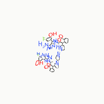 CC(c1oc(=O)c2ccccc2c1C1=CCCN(C2CCN(C)CC2)C1)n1nc(-c2cc(O)cc(F)c2)c2c(N)ncnc21.CC(c1oc(=O)c2ccccc2c1C1=CCCNC1)n1nc(-c2cc(O)cc(F)c2)c2c(N)ncnc21